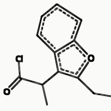 CCc1oc2ccccc2c1C(C)C(=O)Cl